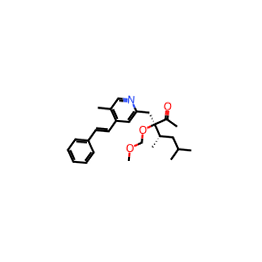 COCO[C@@](Cc1cc(/C=C/c2ccccc2)c(C)cn1)(C(C)=O)[C@@H](C)CC(C)C